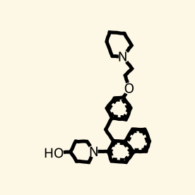 OC1CCN(c2ccc3ccccc3c2Cc2ccc(OCCN3CCCCC3)cc2)CC1